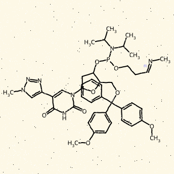 C/N=C/CCOP(OC1CC(n2cc(-c3cn(C)nn3)c(=O)[nH]c2=O)OC1COC(c1ccccc1)(c1ccc(OC)cc1)c1ccc(OC)cc1)N(C(C)C)C(C)C